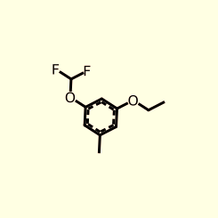 CCOc1cc(C)cc(OC(F)F)c1